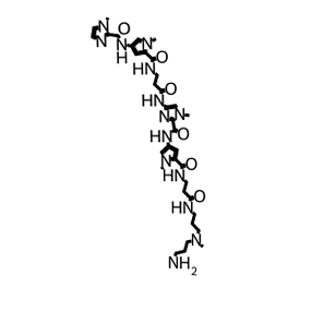 CN(CCCN)CCCNC(=O)CCNC(=O)c1cc(NC(=O)c2nc(NC(=O)CCNC(=O)c3cc(NC(=O)c4nccn4C)cn3C)cn2C)cn1C